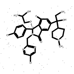 CCC(O)(c1cc(F)c2c(c1)C(=O)N(Cc1ncc(Cl)cn1)[C@@]2(OCC(C)O)c1ccc(Cl)cc1)C1CCN(C)CC1